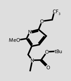 COc1nc(OCC(F)(F)F)ccc1CN(C)C(=O)OC(C)(C)C